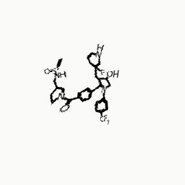 C=C[S+]([O-])NCC1CCN(C(=O)c2ccc(C3C(CC4(F)CCCNC4)C(O)CN3c3ccc(C(F)(F)F)cc3)cc2)C1